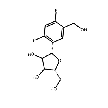 OCc1cc([C@@H]2O[C@H](CO)C(O)C2O)c(F)cc1F